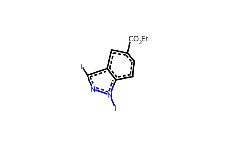 CCOC(=O)c1ccc2c(c1)c(I)nn2I